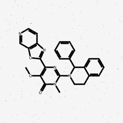 COc1c(-c2nc3ccncc3o2)nc(N2CCc3ccccc3C2c2ccccc2)n(C)c1=O